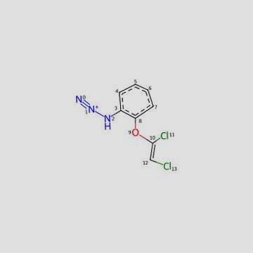 N#[N+]Nc1ccccc1OC(Cl)=CCl